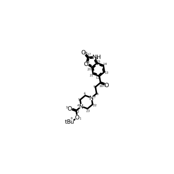 CC(C)(C)OC(=O)N1CCN(CCC(=O)c2ccc3[nH]c(=O)oc3c2)CC1